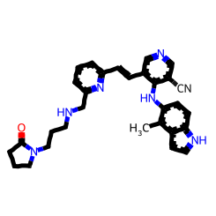 Cc1c(Nc2c(C#N)cncc2C=Cc2cccc(CNCCCN3CCCC3=O)n2)ccc2[nH]ccc12